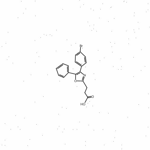 O=C(O)CCc1nc(-c2ccc(Br)cc2)c(-c2ccccc2)o1